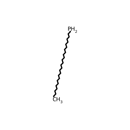 CCCCCCCCCCCCCCCCCCCCCCCCCCCP